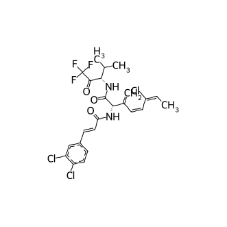 C=C(/C=C\C(Cl)=C/C)[C@H](NC(=O)/C=C/c1ccc(Cl)c(Cl)c1)C(=O)N[C@H](C(=O)C(F)(F)F)C(C)C